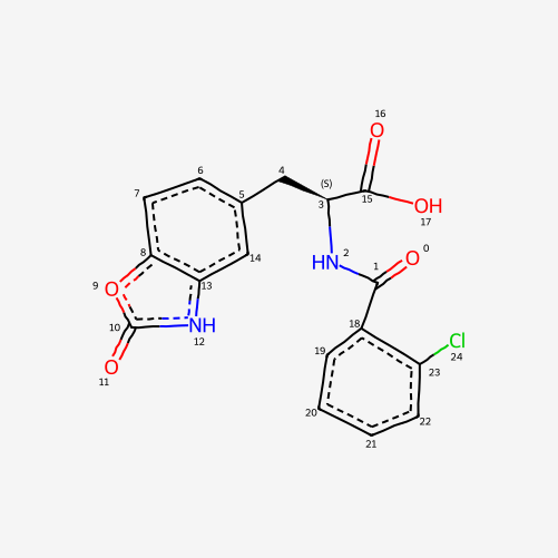 O=C(N[C@@H](Cc1ccc2oc(=O)[nH]c2c1)C(=O)O)c1ccccc1Cl